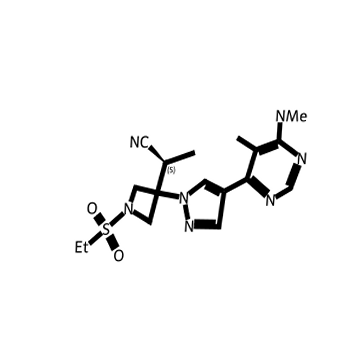 CCS(=O)(=O)N1CC([C@H](C)C#N)(n2cc(-c3ncnc(NC)c3C)cn2)C1